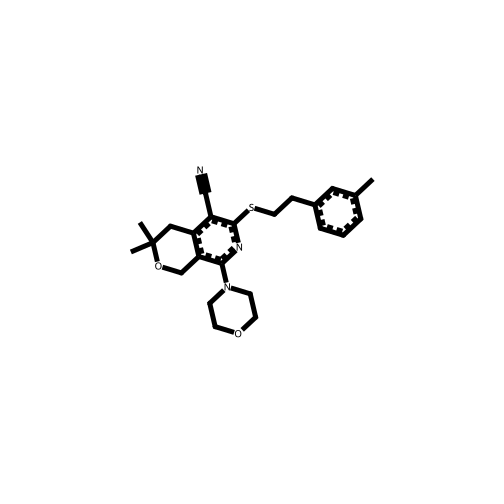 Cc1cccc(CCSc2nc(N3CCOCC3)c3c(c2C#N)CC(C)(C)OC3)c1